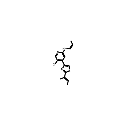 C/C=C\Nc1cc(-c2csc(/C(C)=C/C)n2)c(Cl)cn1